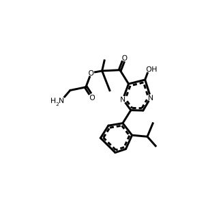 CC(C)c1ccccc1-c1cnc(O)c(C(=O)C(C)(C)OC(=O)CN)n1